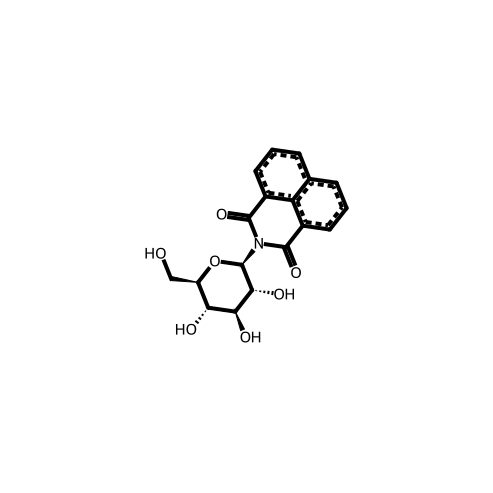 O=C1c2cccc3cccc(c23)C(=O)N1[C@@H]1O[C@H](CO)[C@@H](O)[C@H](O)[C@H]1O